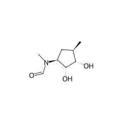 C[C@@H]1C[C@H](N(C)C=O)[C@@H](O)[C@H]1O